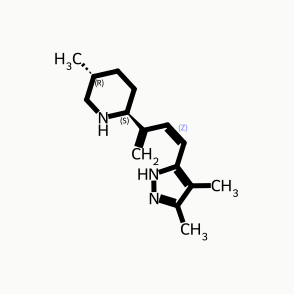 C=C(/C=C\c1[nH]nc(C)c1C)[C@@H]1CC[C@@H](C)CN1